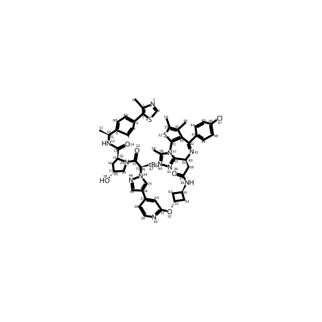 Cc1ncsc1-c1ccc([C@H](C)NC(=O)[C@@H]2C[C@@H](O)CN2C(=O)[C@H](n2cc(-c3ccnc(O[C@H]4C[C@H](NC(=O)C[C@@H]5N=C(c6ccc(Cl)cc6)c6c(sc(C)c6C)-n6c(C)nnc65)C4)c3)cn2)C(C)(C)C)cc1